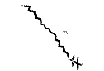 CCCCCCCCCCCCCCCCCCOS(=O)(=O)C(F)(F)F.N